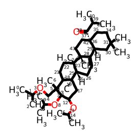 CC(C)OCC1(C)C(OC(C)C)C(OC(C)C)C[C@@]2(C)C1CC[C@]1(C)[C@@H]2CC=C2[C@H]3CC(C)(C)CC[C@]3(C(=O)C(C)C)CC[C@]21C